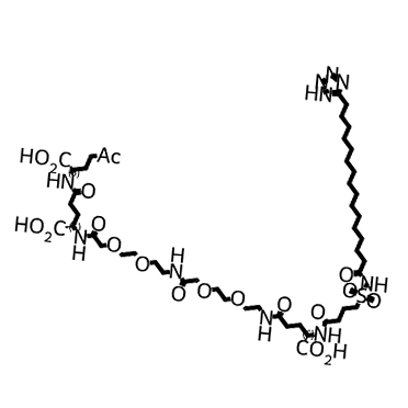 CC(=O)CC[C@H](NC(=O)CC[C@H](NC(=O)COCCOCCNC(=O)COCCOCCNC(=O)CC[C@H](NC(=O)CCCS(=O)(=O)NC(=O)CCCCCCCCCCCCCCCc1nnn[nH]1)C(=O)O)C(=O)O)C(=O)O